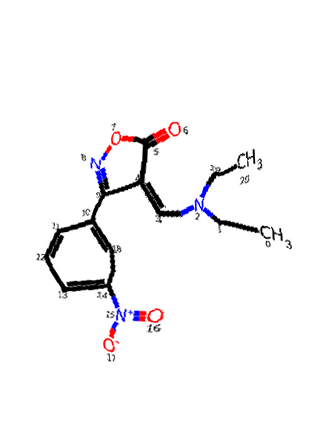 CCN(C=C1C(=O)ON=C1c1cccc([N+](=O)[O-])c1)CC